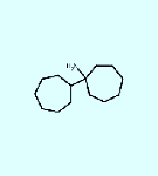 NC1(C2CCCCCC2)CCCCCC1